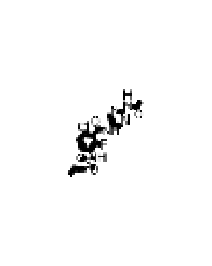 CCCS(=O)(=O)Nc1ccc(Cl)c(C(=O)Nc2cnc(NC(C)=O)nc2)c1F